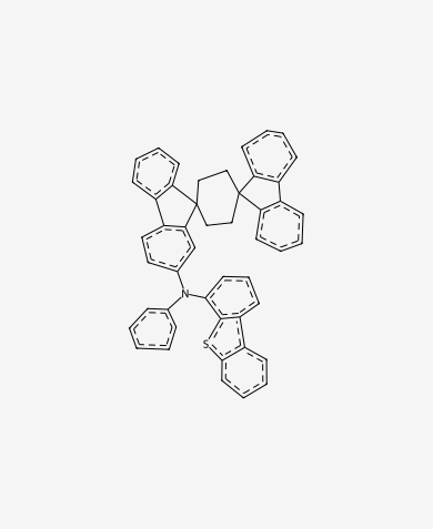 c1ccc(N(c2ccc3c(c2)C2(CCC4(CC2)c2ccccc2-c2ccccc24)c2ccccc2-3)c2cccc3c2sc2ccccc23)cc1